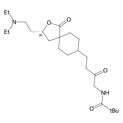 CCN(CC)CC[C@H]1CC2(CCC(CCC(=O)CNC(=O)C(C)(C)C)CC2)C(=O)O1